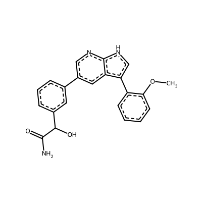 COc1ccccc1-c1c[nH]c2ncc(-c3cccc(C(O)C(N)=O)c3)cc12